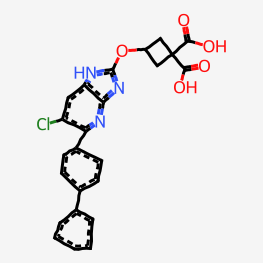 O=C(O)C1(C(=O)O)CC(Oc2nc3nc(-c4ccc(-c5ccccc5)cc4)c(Cl)cc3[nH]2)C1